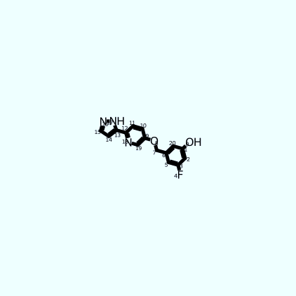 Oc1cc(F)cc(COc2ccc(-c3ccn[nH]3)nc2)c1